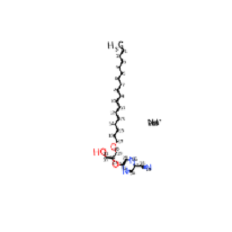 CCCCCCCCCCCCCCCCCCOC[C@H](CO)Oc1cnc(C#N)cn1.[H-].[Na+]